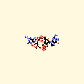 CO[C@@H]1COP(=O)(O)O[C@@H]2[C@H](O)[C@@H](COP(=O)(O)O[C@H]1[C@@H](O)n1cnc3c(N)ncnc31)O[C@H]2n1cnc2c(=O)[nH]c(N)nc21